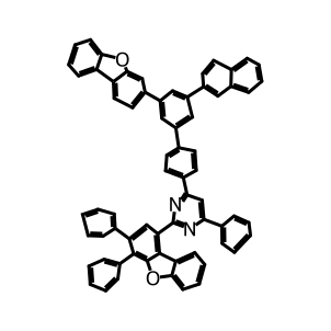 c1ccc(-c2cc(-c3ccc(-c4cc(-c5ccc6ccccc6c5)cc(-c5ccc6c(c5)oc5ccccc56)c4)cc3)nc(-c3cc(-c4ccccc4)c(-c4ccccc4)c4oc5ccccc5c34)n2)cc1